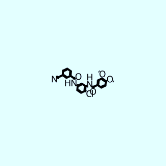 COc1ccc(C(=O)Nc2cc(NC(=O)c3cccc(C#N)c3)ccc2Cl)cc1OC